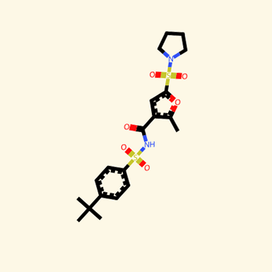 Cc1oc(S(=O)(=O)N2CCCC2)cc1C(=O)NS(=O)(=O)c1ccc(C(C)(C)C)cc1